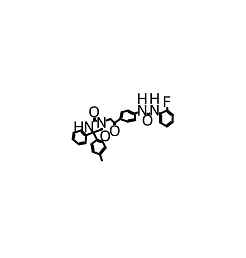 Cc1ccc(C2(c3ccccc3)NC(=O)N(CC(=O)c3ccc(NC(=O)Nc4ccccc4F)cc3)C2=O)cc1